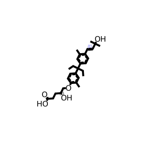 CCC(CC)(c1ccc(/C=C/C(C)(C)O)c(C)c1)c1ccc(OC[C@H](O)CCC(=O)O)c(C)c1